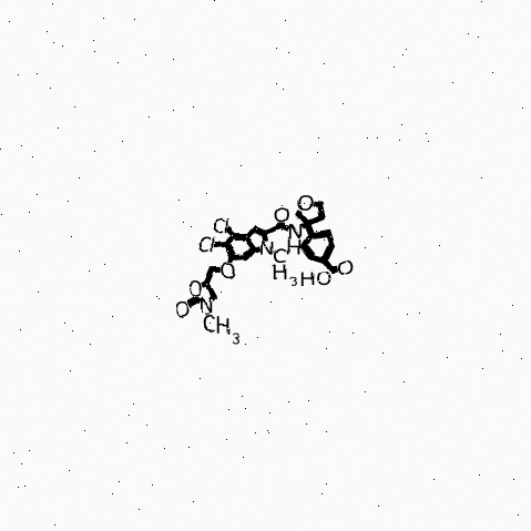 CN1CC(COc2cc3c(cc(C(=O)NC4(c5ccc(C(=O)O)cc5)CCOC4)n3C)c(Cl)c2Cl)OC1=O